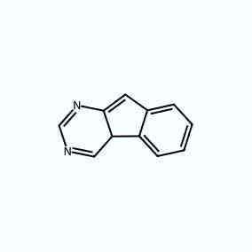 C1=NC=NC2=Cc3ccccc3C12